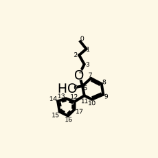 CCCCOC1(O)C=CC=CC1c1ccccc1